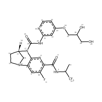 CC(NC(=O)c1nc2c(cc1F)N1CC[C@@H](C1)N2C(=O)Nc1cc(OCC(O)CO)ccn1)C(F)(F)F